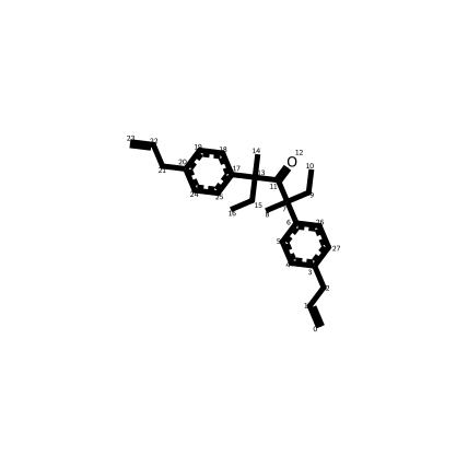 C=CCc1ccc(C(C)(CC)C(=O)C(C)(CC)c2ccc(CC=C)cc2)cc1